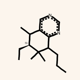 CCCC1c2ncncc2C(C)[C@H](CC)C1(C)C